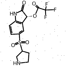 O=C1Nc2ccc(S(=O)(=O)C3CCNC3)cc2[C@H]1OC(=O)C(F)(F)F